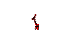 c1ccc(-c2ccc(-n3c4ccccc4c4cc(-c5ccc(-c6ccc7c(c6)c6ccccc6n7-c6cccc([Si](c7ccccc7)(c7ccccc7)c7ccccc7)c6)cc5)ccc43)cc2)cc1